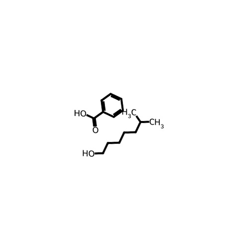 CC(C)CCCCCO.O=C(O)c1ccccc1